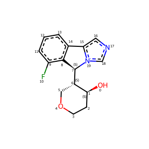 O[C@H]1CCOC[C@@H]1[C@H]1c2c(F)cccc2-c2cncn21